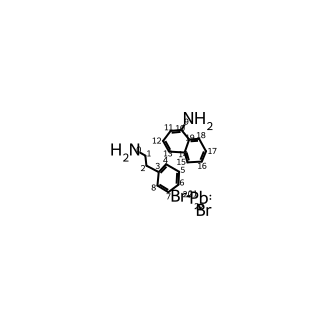 NCCc1ccccc1.Nc1cccc2ccccc12.[Br][Pb][Br]